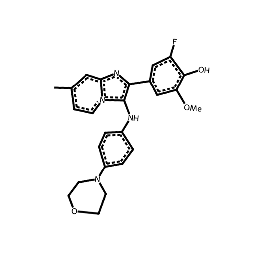 COc1cc(-c2nc3cc(C)ccn3c2Nc2ccc(N3CCOCC3)cc2)cc(F)c1O